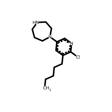 CCCCCc1cc(N2CCCNCC2)cnc1Cl